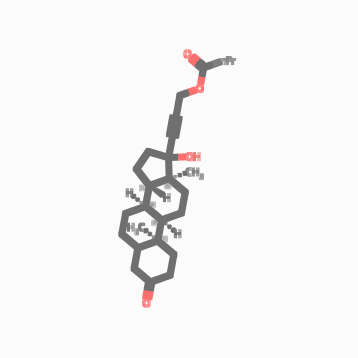 CCCC(=O)OCC#CC1(O)CC[C@H]2[C@@H]3CCC4CC(=O)CC[C@]4(C)[C@@H]3CC[C@@]21C